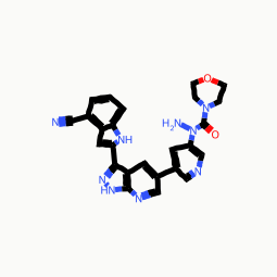 N#Cc1cccc2[nH]c(-c3n[nH]c4ncc(-c5cncc(N(N)C(=O)N6CCOCC6)c5)cc34)cc12